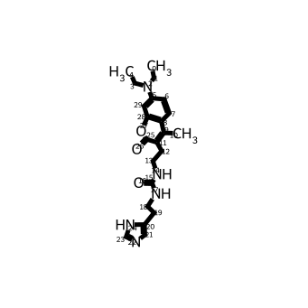 CCN(CC)c1ccc2c(C)c(CCNC(=O)NCCc3cnc[nH]3)c(=O)oc2c1